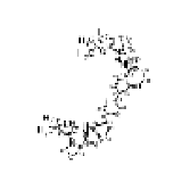 CC(C)(C)OC(=O)NC1(c2nc3c([nH]2)-c2ccc(-c4ccc(-c5ccc6nc([C@@H]7CCCN7C(=O)OC(C)(C)C)[nH]c6c5)cc4)cc2OCC3)CCC1